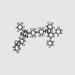 c1ccc(-c2cc(-c3ccccc3)c3c4ccccc4n(-c4ccc(-c5ccc(-c6nc(-c7ccccc7)nc(-c7ccc8c(c7)oc7ccccc78)n6)cc5)cc4)c3c2)cc1